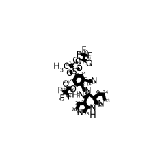 CC(C)=S(=O)(OOC(=O)C(F)(F)F)c1cc(C#N)c(-c2nc3c([nH]2)-c2ccncc2Nc2ncccc2-3)c(OC(=O)C(F)(F)F)c1